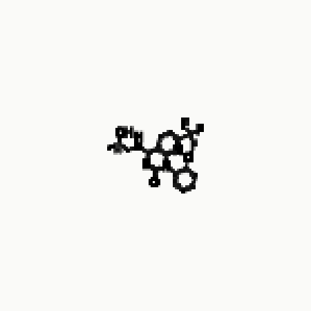 C[C@@H](O)CNc1nc(=O)n(-c2ccccc2Cl)c2nc(C(F)(F)F)ccc12